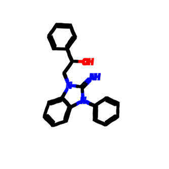 N=c1n(CC(O)c2ccccc2)c2ccccc2n1-c1ccccc1